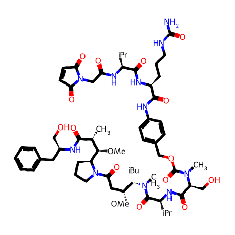 CC[C@H](C)[C@@H]([C@@H](CC(=O)N1CCC[C@H]1[C@H](OC)[C@@H](C)C(=O)N[C@H](CO)Cc1ccccc1)OC)N(C)C(=O)[C@@H](NC(=O)[C@H](CO)N(C)C(=O)OCc1ccc(NC(=O)[C@H](CCCNC(N)=O)NC(=O)[C@@H](NC(=O)CN2C(=O)C=CC2=O)C(C)C)cc1)C(C)C